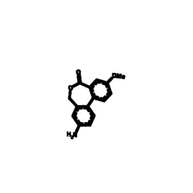 COc1ccc2c(c1)C(=O)OCc1cc(N)ccc1-2